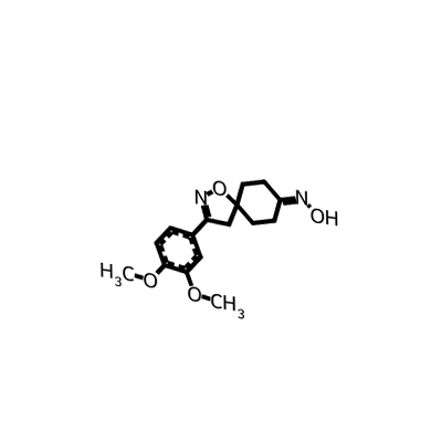 COc1ccc(C2=NOC3(CCC(=NO)CC3)C2)cc1OC